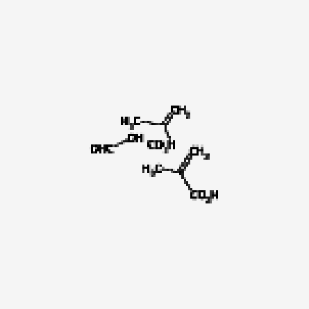 C=C(C)C(=O)O.C=C(C)C(=O)O.O=CO